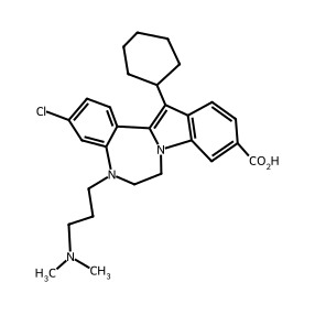 CN(C)CCCN1CCn2c(c(C3CCCCC3)c3ccc(C(=O)O)cc32)-c2ccc(Cl)cc21